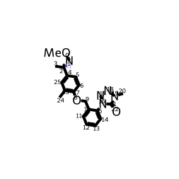 CO/N=C(\C)c1ccc(OCc2ccccc2-n2nnn(C)c2=O)c(C)c1